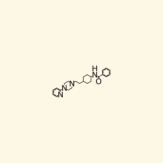 O=C(NC1CCC(CCN2CCN(c3ccccn3)CC2)CC1)c1ccccc1